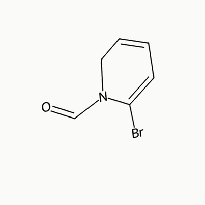 O=CN1CC=CC=C1Br